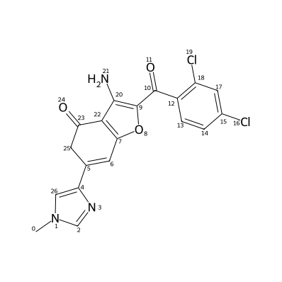 Cn1cnc(C2=Cc3oc(C(=O)c4ccc(Cl)cc4Cl)c(N)c3C(=O)C2)c1